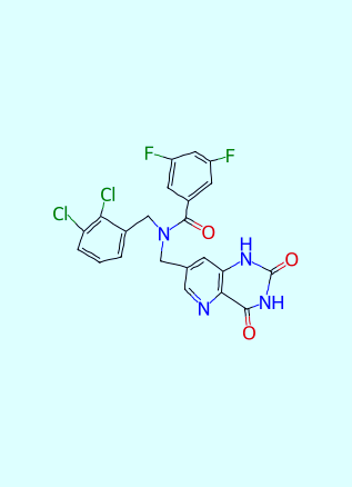 O=C(c1cc(F)cc(F)c1)N(Cc1cnc2c(=O)[nH]c(=O)[nH]c2c1)Cc1cccc(Cl)c1Cl